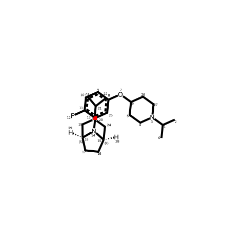 CC(C)N1CCC(Oc2ccc(F)c(N3[C@@H]4CC[C@H]3CN(C(C)C)C4)c2)CC1